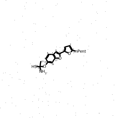 CCCCCc1ccc(-c2cc3ccc(OC(C)(N)S)cc3o2)o1